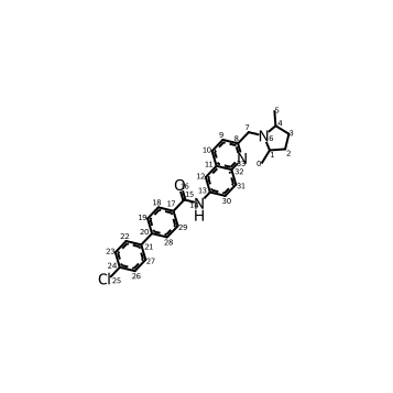 CC1CCC(C)N1Cc1ccc2cc(NC(=O)c3ccc(-c4ccc(Cl)cc4)cc3)ccc2n1